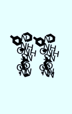 Cc1ccc(NC(=O)Nc2ncc(CS(=O)(=O)c3nccn3C)s2)c(N2CCCCC2)c1.Cc1ccc(NC(=O)Nc2ncc(CS(=O)(=O)c3nncn3C)s2)c(N2CCCCC2)c1